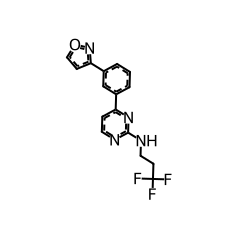 FC(F)(F)CCNc1nccc(-c2cccc(-c3ccon3)c2)n1